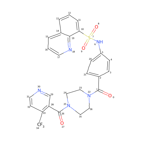 O=C(c1ccc(NS(=O)(=O)c2cccc3cccnc23)cc1)N1CCN(C(=O)c2cnccc2C(F)(F)F)CC1